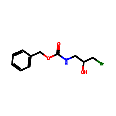 O=C(NCC(O)CBr)OCc1ccccc1